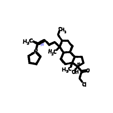 CCC1CCC2C(CCC3(C)C2CC[C@]3(O)C(=O)CCl)C1(C)CC/C=C(/C)N1CCCC1